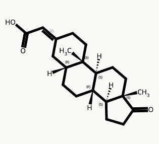 C[C@]12CC/C(=C/C(=O)O)C[C@H]1CC[C@@H]1[C@@H]2CC[C@]2(C)C(=O)CC[C@@H]12